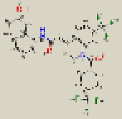 O=C(/C=C1\CCN(C(=O)C2CCC(C(F)(F)F)CC2)c2cc(C(F)(F)F)ccc21)Nc1cccc2c1CC(O)CC2